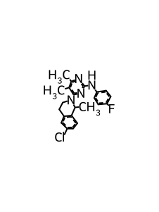 Cc1nc(Nc2ccc(F)cc2)nc(N2CCc3cc(Cl)ccc3C2C)c1C